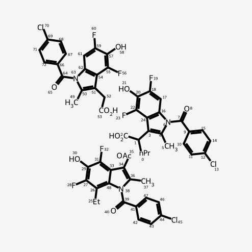 CCCC(C(=O)O)c1c(C)n(C(=O)c2ccc(Cl)cc2)c2cc(F)c(O)c(F)c12.CCc1c(F)c(O)c(F)c2c(OC(C)=O)c(C)n(C(=O)c3ccc(Cl)cc3)c12.Cc1c(CC(=O)O)c2c(F)c(O)c(F)cc2n1C(=O)c1ccc(Cl)cc1